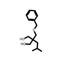 CC(C)CC(CO)(CO)CSCc1ccccc1